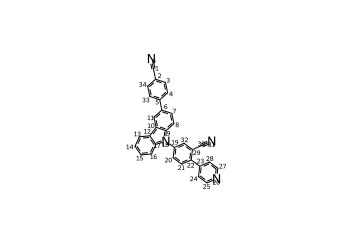 N#Cc1ccc(-c2ccc3c(c2)c2ccccc2n3-c2ccc(-c3ccncc3)c(C#N)c2)cc1